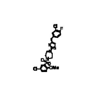 COc1ccc(Cl)cc1S(=O)(=O)N1CCN(c2nc(Cc3ccc(F)c(Cl)c3)cs2)CC1